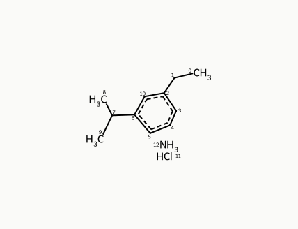 CCc1cccc(C(C)C)c1.Cl.N